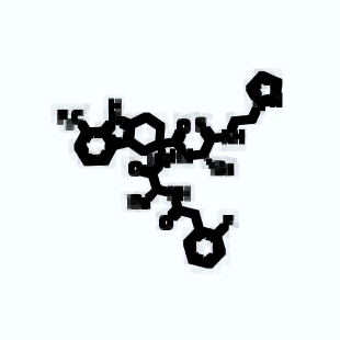 CCC(C)[C@H](NC(=O)Cc1ccccc1F)C(=O)N[C@]1(C(=O)N[C@H](C(=S)NCCn2cccn2)C(C)CC)CCc2[nH]c3c(C(F)(F)F)cccc3c2C1